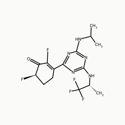 CC(C)Nc1nc(N[C@H](C)C(F)(F)F)nc(C2=C(F)C(=O)[C@H](F)CC2)n1